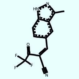 Cc1n[nH]c2ccc(C=C(C#N)C(=O)C(F)(F)F)cc12